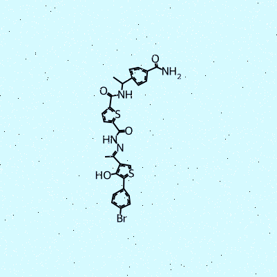 C/C(=N\NC(=O)c1ccc(C(=O)NC(C)c2ccc(C(N)=O)cc2)s1)c1csc(-c2ccc(Br)cc2)c1O